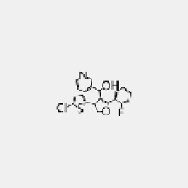 OC(C1=C(c2ccccc2F)OCC1c1ccc(Cl)s1)c1cccnc1